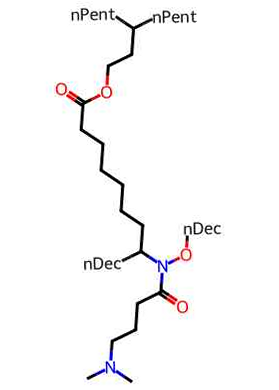 CCCCCCCCCCON(C(=O)CCCN(C)C)C(CCCCCCCCCC)CCCCCCC(=O)OCCC(CCCCC)CCCCC